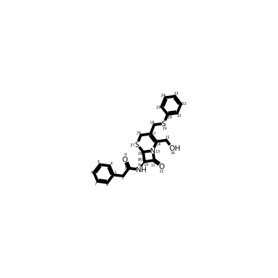 O=C(Cc1ccccc1)N[C@@H]1C(=O)N2C(CO)=C(CSc3ccccc3)CSC12